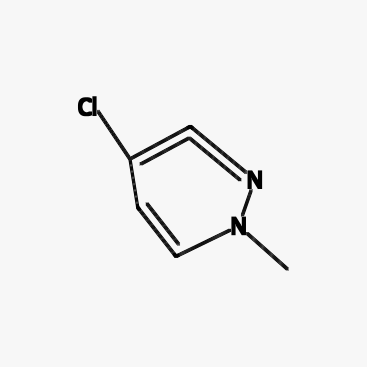 CN1C=CC(Cl)=C=N1